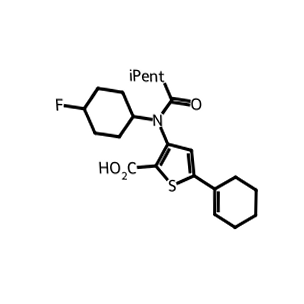 CCCC(C)C(=O)N(c1cc(C2=CCCCC2)sc1C(=O)O)C1CCC(F)CC1